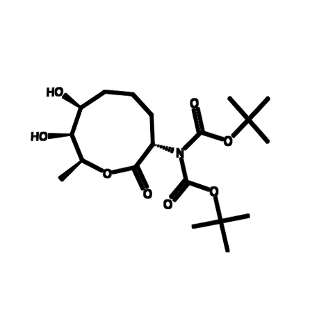 C[C@@H]1OC(=O)[C@@H](N(C(=O)OC(C)(C)C)C(=O)OC(C)(C)C)CCC[C@H](O)[C@@H]1O